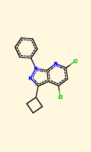 Clc1cc(Cl)c2c(C3CCC3)nn(-c3ccccc3)c2n1